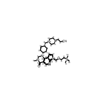 CN1CN([C@H]2CC[C@H](CN3CCN(CCC#N)CC3)CC2)c2c(cnc3c2ccn3COCC[Si](C)(C)C)C1=O